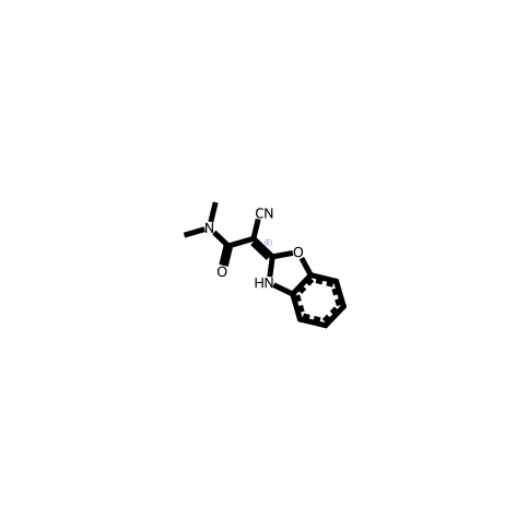 CN(C)C(=O)/C(C#N)=C1\Nc2ccccc2O1